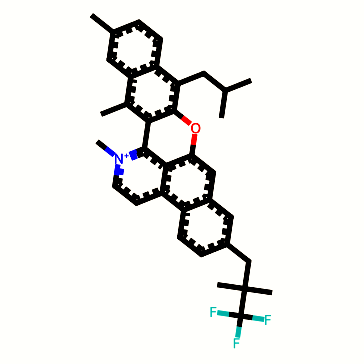 Cc1ccc2c(CC(C)C)c3c(c(C)c2c1)-c1c2c(cc4cc(CC(C)(C)C(F)(F)F)ccc4c2cc[n+]1C)O3